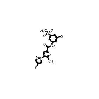 Cc1sc(C(=O)Nc2cc(Cl)cc(S(C)(=O)=O)c2)cc1-n1cc(F)cn1